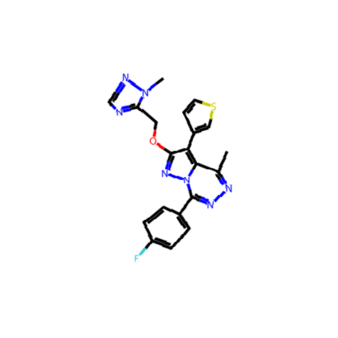 Cc1nnc(-c2ccc(F)cc2)n2nc(OCc3ncnn3C)c(-c3ccsc3)c12